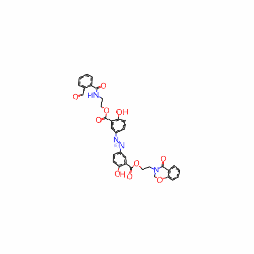 O=Cc1ccccc1C(=O)NCCOC(=O)c1cc(/N=N/c2ccc(O)c(C(=O)OCCN3COc4ccccc4C3=O)c2)ccc1O